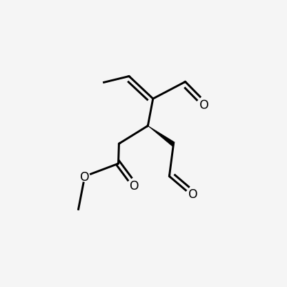 C/C=C(/C=O)[C@@H](CC=O)CC(=O)OC